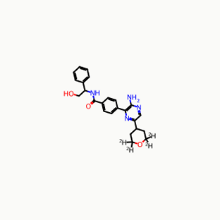 [2H]C1([2H])CC(c2cnc(N)c(-c3ccc(C(=O)NC(CO)c4ccccc4)cc3)n2)CC([2H])([2H])O1